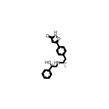 C[C@@H](Cc1ccc(-c2cc(=O)[nH]o2)cc1)NC[C@H](O)c1ccccc1